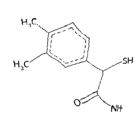 Cc1ccc(C(S)C([NH])=O)cc1C